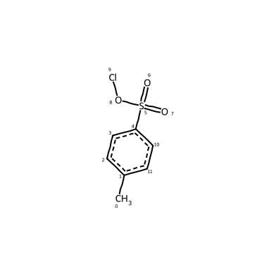 Cc1ccc(S(=O)(=O)OCl)cc1